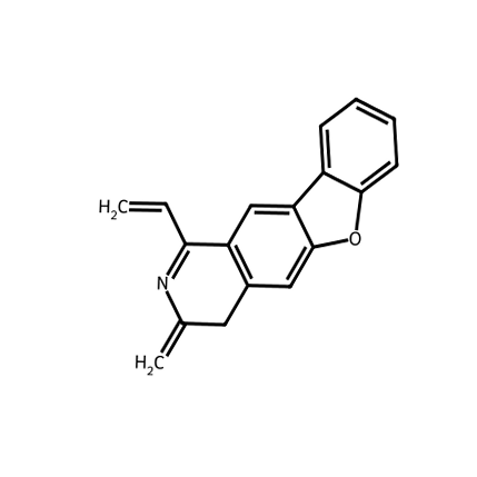 C=CC1=NC(=C)Cc2cc3oc4ccccc4c3cc21